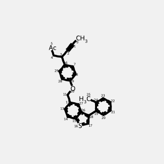 CC#CC(CC(C)=O)c1ccc(OCc2ccc3scc(-c4ccccc4C)c3c2)cc1